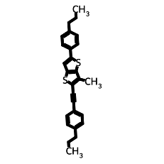 CCCc1ccc(C#Cc2sc3cc(-c4ccc(CCC)cc4)sc3c2C)cc1